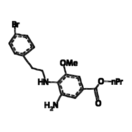 CCCOC(=O)c1cc(N)c(NCCc2ccc(Br)cc2)c(OC)c1